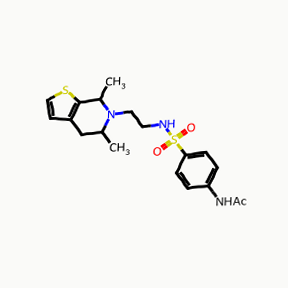 CC(=O)Nc1ccc(S(=O)(=O)NCCN2C(C)Cc3ccsc3C2C)cc1